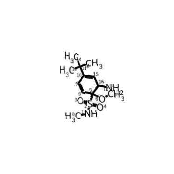 CNS(=O)(=O)C1(OC)C=CC(C(C)(C)C)=CC1N